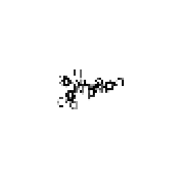 CC(C)(CNC(=O)Nc1ccc(Cl)cc1)c1nc(-c2ccc(Cl)c(Cl)c2)c(-c2ccncc2)[nH]1